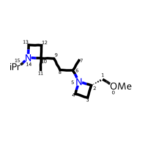 COC[C@@H]1CCN1C(C)CCC1(C)CCN1C(C)C